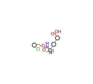 Cc1noc(-c2ccc(-c3cccc(C(=O)O)c3)cc2)c1NC(=O)OCCc1ccccc1Cl